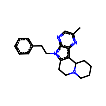 Cc1cnc2c(n1)c1c(n2CCc2ccccc2)CCN2CCCCC12